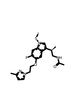 CC(=O)NC[C@H](C)c1cn(SI)c2cc(F)c(OCCn3ccc(C)n3)cc12